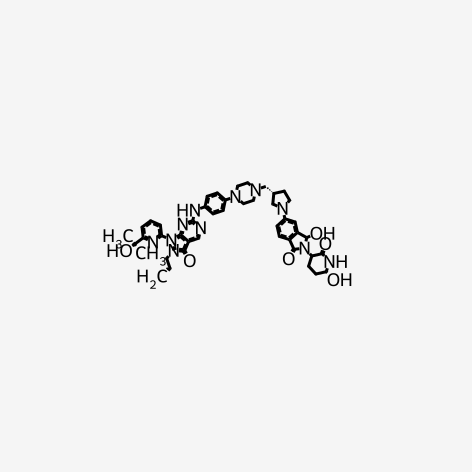 C=CCn1c(=O)c2cnc(Nc3ccc(N4CCN(C[C@@H]5CCN(c6ccc7c(c6)C(O)N(C6CCC(O)NC6=O)C7=O)C5)CC4)cc3)nc2n1-c1cccc(C(C)(C)O)n1